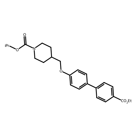 CCOC(=O)c1ccc(-c2ccc(OCC3CCN(C(=O)OC(C)C)CC3)cc2)cc1